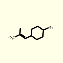 CC(=CC1CCC(C(C)(C)C)CC1)C(=O)O